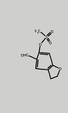 O=Cc1cc2c(cc1OS(=O)(=O)C(F)(F)F)OCC2